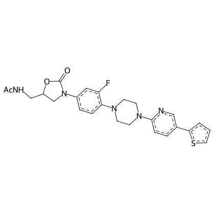 CC(=O)NCC1CN(c2ccc(N3CCN(c4ccc(-c5cccs5)cn4)CC3)c(F)c2)C(=O)O1